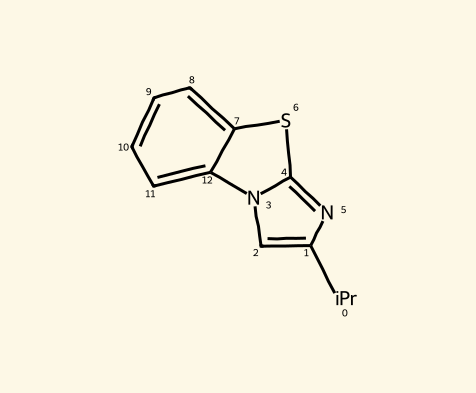 CC(C)c1cn2c(n1)sc1ccccc12